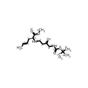 C/C=C/C[C@H](NCCC(=O)CNC(=O)OC(C)(C)C)C(=O)OC